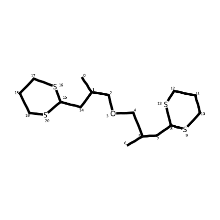 CC(COCC(C)CC1SCCCS1)CC1SCCCS1